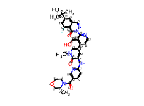 C[C@@H]1COCCN1C(=O)c1ccc(Nc2cc(-c3ccnc(-n4ncc5cc(C(C)(C)C)cc(F)c5c4=O)c3CO)cn(C)c2=O)nc1